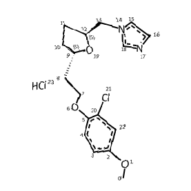 COc1ccc(OCC[C@@H]2CC[C@@H](Cn3ccnc3)O2)c(Cl)c1.Cl